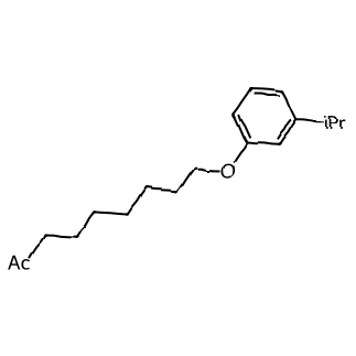 CC(=O)CCCCCCCOc1cccc(C(C)C)c1